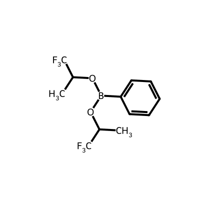 CC(OB(OC(C)C(F)(F)F)c1ccccc1)C(F)(F)F